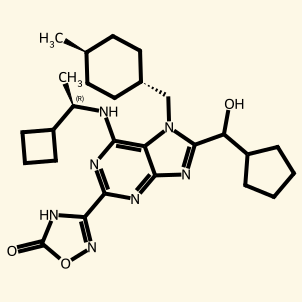 C[C@@H](Nc1nc(-c2noc(=O)[nH]2)nc2nc(C(O)C3CCCC3)n(C[C@H]3CC[C@H](C)CC3)c12)C1CCC1